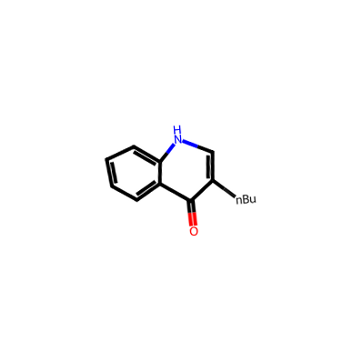 CCCCc1c[nH]c2ccccc2c1=O